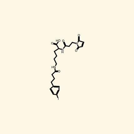 O=C(CCCc1ccc(I)cc1)NCCCCC(NC(=O)CCN1C(=O)C=CC1=O)C(=O)O